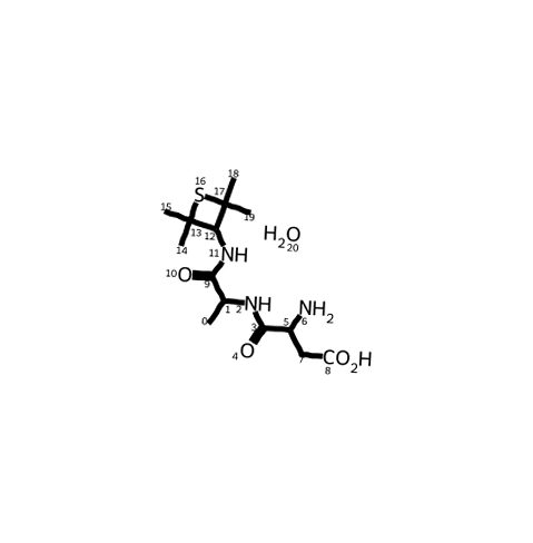 CC(NC(=O)C(N)CC(=O)O)C(=O)NC1C(C)(C)SC1(C)C.O